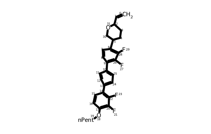 C=CC1CCC(c2ccc(-c3ccc(-c4ccc(OCCCCC)c(F)c4F)cc3)c(F)c2F)CO1